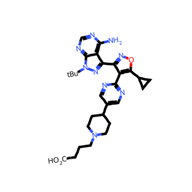 CC(C)(C)n1nc(-c2noc(C3CC3)c2-c2ncc(C3CCN(CCCC(=O)O)CC3)cn2)c2c(N)ncnc21